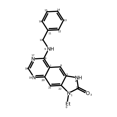 CCn1c(=O)[nH]c2cc3c(NCc4ccccc4)ncnc3cc21